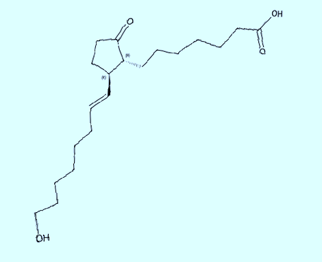 O=C(O)CCCCCC[C@H]1C(=O)CC[C@@H]1C=CCCCCCCO